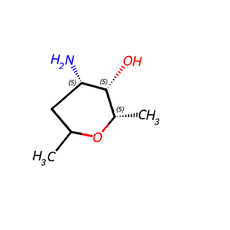 CC1C[C@H](N)[C@H](O)[C@H](C)O1